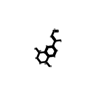 CC(=CC=O)c1ccc2c(c1)C(C)CCN2C